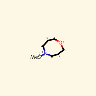 CSN1CCCOCCC1